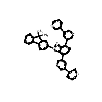 CC1(C)c2ccccc2-c2ccc(-n3nc4c(-c5cncc(-c6cccnc6)c5)ccc(-c5cncc(-c6cccnc6)c5)c4n3)cc21